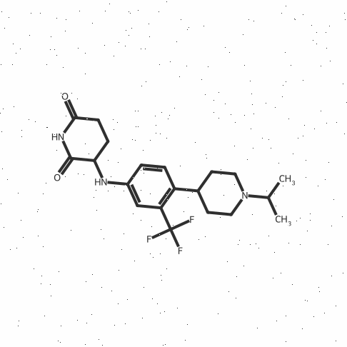 CC(C)N1CCC(c2ccc(NC3CCC(=O)NC3=O)cc2C(F)(F)F)CC1